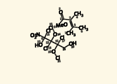 COC(=O)C(C)=C(C)C.O=[N+]([O-])C(O)(Cl)C(Cl)(OCl)C(Cl)(CO)OCl